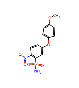 COc1ccc(Oc2ccc([N+](=O)[O-])c(S(N)(=O)=O)c2)cc1